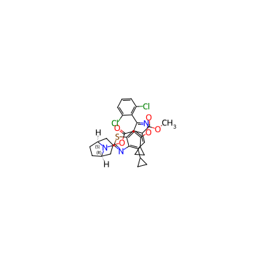 COC(=O)c1cc(C2CC2)c2nc(N3[C@@H]4CC[C@H]3CC(OC(=O)c3c(-c5c(Cl)cccc5Cl)noc3C3CC3)C4)sc2c1